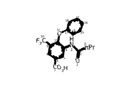 CCCC(=O)Nc1cc(C(=O)O)cc(C(F)(F)F)c1Oc1ccccc1